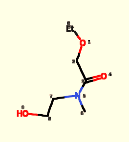 CCOCC(=O)N(C)CCO